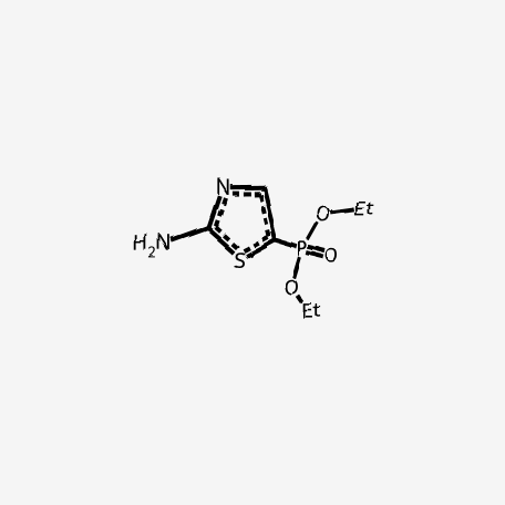 CCOP(=O)(OCC)c1cnc(N)s1